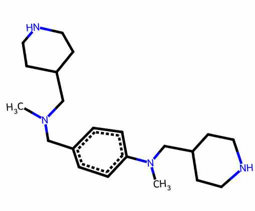 CN(Cc1ccc(N(C)CC2CCNCC2)cc1)CC1CCNCC1